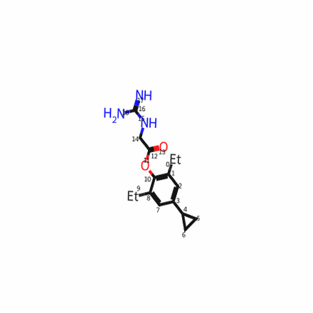 CCc1cc(C2CC2)cc(CC)c1OC(=O)CNC(=N)N